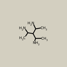 CC(N)C(C(C)N)C(C)N